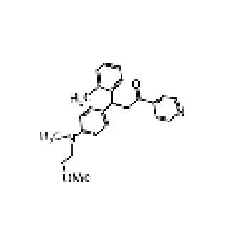 COCCN(C)c1ccc(C(CC(=O)c2ccncc2)c2ccccc2C)cc1